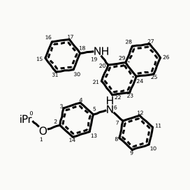 CC(C)Oc1ccc(Nc2ccccc2)cc1.c1ccc(Nc2cccc3ccccc23)cc1